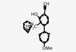 C#Cc1ccc(-c2ccc(OC)cc2)c(C(=O)O)c1O.c1cc2cc-2n1